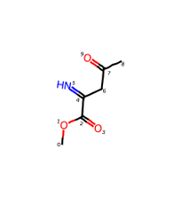 COC(=O)C(=N)CC(C)=O